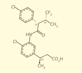 C[C@H](CC(=O)O)c1ccc(Cl)c(NC(=O)[C@H](c2ccc(Cl)cc2)[C@@H](C)C(F)(F)F)c1